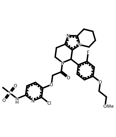 COCCOc1ccc(C2c3c(nc4n3CCCC4)CCN2C(=O)COc2ccc(NS(C)(=O)=O)nc2Cl)c(F)c1